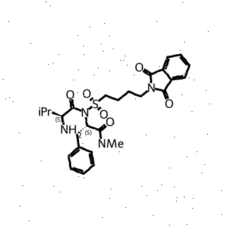 CNC(=O)[C@H](Cc1ccccc1)N(C(=O)[C@@H](N)C(C)C)S(=O)(=O)CCCCN1C(=O)c2ccccc2C1=O